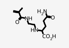 C=C(C)C(=O)NCCNC(CCC(N)=O)C(=O)O